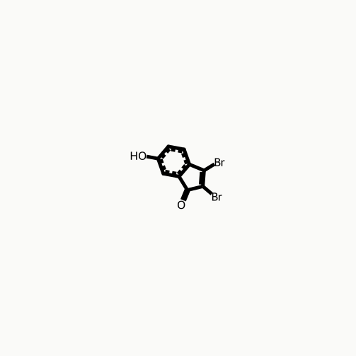 O=C1C(Br)=C(Br)c2ccc(O)cc21